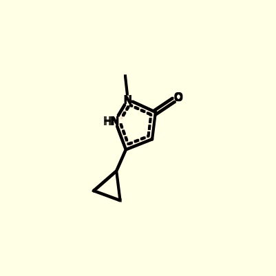 Cn1[nH]c(C2CC2)cc1=O